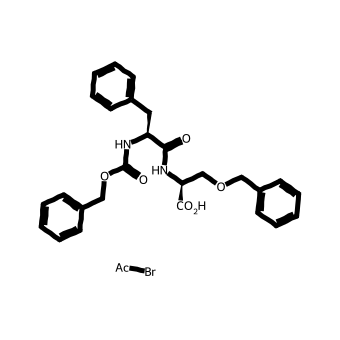 CC(=O)Br.O=C(N[C@@H](Cc1ccccc1)C(=O)N[C@@H](COCc1ccccc1)C(=O)O)OCc1ccccc1